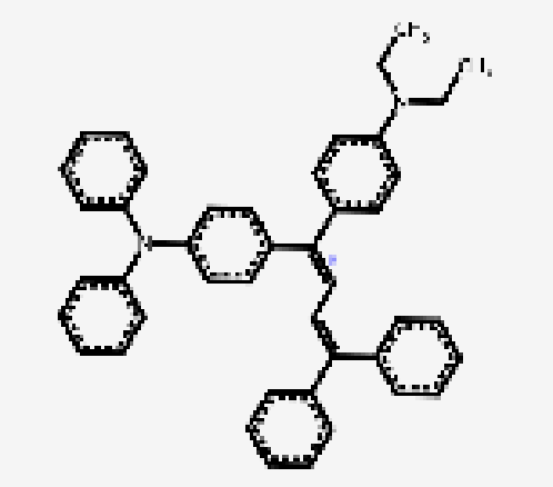 CCN(CC)c1ccc(/C(=C/C=C(c2ccccc2)c2ccccc2)c2ccc(N(c3ccccc3)c3ccccc3)cc2)cc1